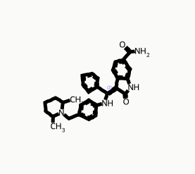 CC1CCCC(C)N1Cc1ccc(N/C(=C2\C(=O)Nc3cc(C(N)=O)ccc32)c2ccccc2)cc1